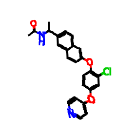 CC(=O)NC(C)c1ccc2cc(Oc3ccc(Oc4ccncc4)cc3Cl)ccc2c1